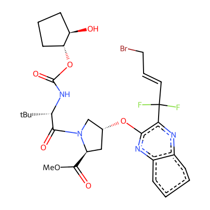 COC(=O)[C@@H]1C[C@@H](Oc2nc3ccccc3nc2C(F)(F)/C=C/CBr)CN1C(=O)[C@@H](NC(=O)O[C@@H]1CCC[C@H]1O)C(C)(C)C